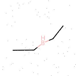 CCBCC